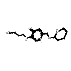 O=c1cc(COC2CCCCO2)occ1OCCCBr